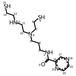 O=C(NCCCN(CCS)CCNCCS)c1cnccn1